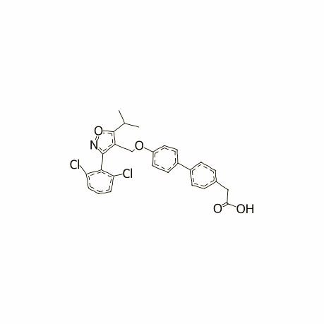 CC(C)c1onc(-c2c(Cl)cccc2Cl)c1COc1ccc(-c2ccc(CC(=O)O)cc2)cc1